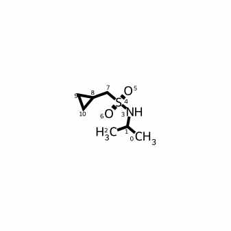 CC(C)NS(=O)(=O)CC1CC1